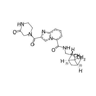 CC1(C)[C@H]2CC[C@@H](CNC(=O)c3cccc4nc(C(=O)N5CCNC(=O)C5)cn34)[C@@H]1C2